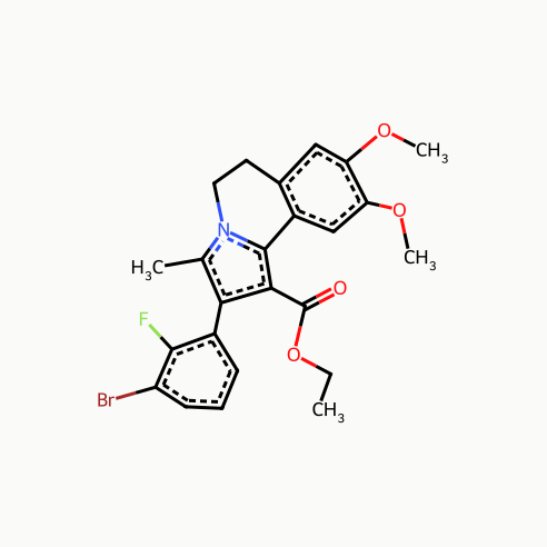 CCOC(=O)c1c(-c2cccc(Br)c2F)c(C)n2c1-c1cc(OC)c(OC)cc1CC2